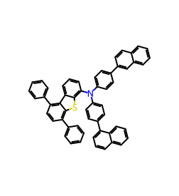 c1ccc(-c2ccc(-c3ccccc3)c3c2sc2c(N(c4ccc(-c5ccc6ccccc6c5)cc4)c4ccc(-c5cccc6ccccc56)cc4)cccc23)cc1